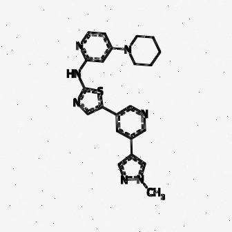 Cn1cc(-c2cncc(-c3cnc(Nc4cc(N5CCCCC5)ccn4)s3)c2)cn1